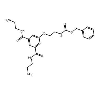 NCCNC(=O)c1cc(OCCNC(=O)OCc2ccccc2)cc(C(=O)NCCN)c1